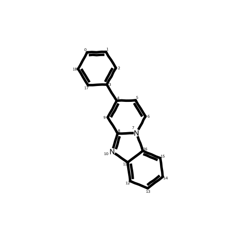 c1ccc(-c2ccn3c(c2)nc2ccccc23)cc1